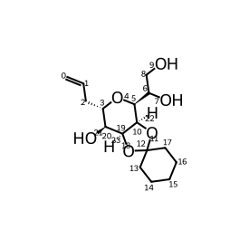 C=CC[C@@H]1O[C@@H](C(O)CO)[C@H]2OC3(CCCCC3)O[C@H]2[C@H]1O